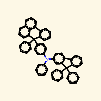 c1ccc(N(c2ccc(C3(c4ccccc4)c4ccccc4-c4cccc5cccc3c45)cc2)c2ccc3c(c2)C(c2ccccc2)(c2ccccc2)c2ccccc2-3)cc1